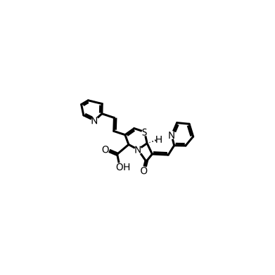 O=C(O)C1C(/C=C/c2ccccn2)=CS[C@H]2/C(=C\c3ccccn3)C(=O)N12